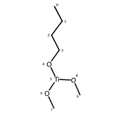 CCCC[O][Ti]([O]C)[O]C